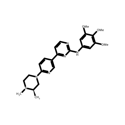 COc1cc(Nc2nccc(-c3ccc(N4CCN(C)[C@H](C)C4)nc3)n2)cc(OC)c1OC